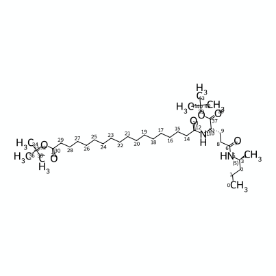 CCC[C@H](C)NC(=O)CC[C@H](NC(=O)CCCCCCCCCCCCCCCCC(=O)OC(C)(C)C)C(=O)OC(C)(C)C